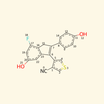 N#Cc1cscc1C1=C(c2ccc(O)cc2)Cc2c(F)cc(O)cc21